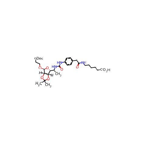 CCCCCCCCCCCCO[C@H]1O[C@H]([C@H](C)NC(=O)Nc2ccc(CC(=O)NCCCCCC(=O)O)cc2)[C@@H]2OC(C)(C)O[C@H]12